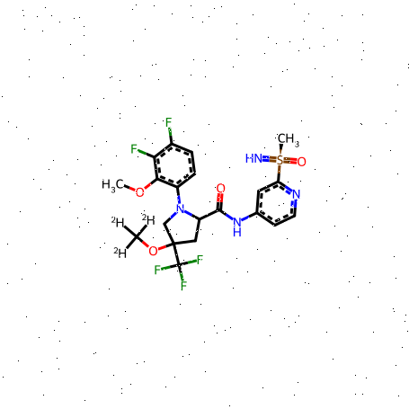 [2H]C([2H])([2H])OC1(C(F)(F)F)CC(C(=O)Nc2ccnc([S@](C)(=N)=O)c2)N(c2ccc(F)c(F)c2OC)C1